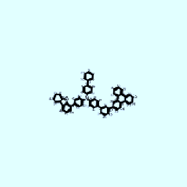 c1ccc(-c2ccc(N(c3ccc(-c4cccc(-c5ccc6c7ccccc7c7ccccc7c6c5)c4)cc3)c3ccc(-c4cccc5c4oc4ccccc45)cc3)cc2)cc1